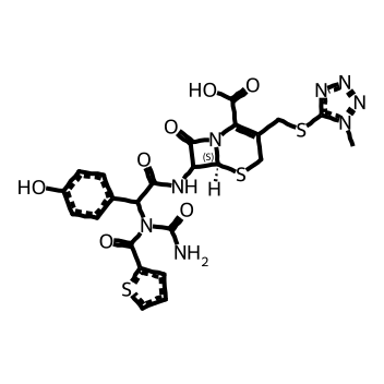 Cn1nnnc1SCC1=C(C(=O)O)N2C(=O)C(NC(=O)C(c3ccc(O)cc3)N(C(N)=O)C(=O)c3cccs3)[C@@H]2SC1